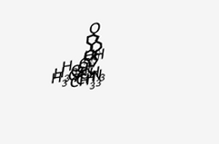 CC(C)(C)[Si](C)(C)O[C@@]1(CC#N)CC[C@H]2[C@@H]3CCC4=CC(=O)CCC4=C3CC[C@@]21C